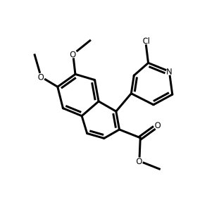 COC(=O)c1ccc2cc(OC)c(OC)cc2c1-c1ccnc(Cl)c1